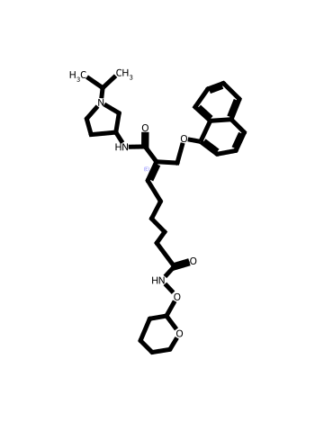 CC(C)N1CCC(NC(=O)/C(=C/CCCCC(=O)NOC2CCCCO2)COc2cccc3ccccc23)C1